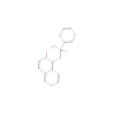 ClC1(c2ccccc2)C=[O+]c2ccc3ccccc3c2C1